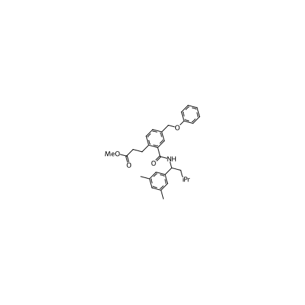 COC(=O)CCc1ccc(COc2ccccc2)cc1C(=O)NC(CC(C)C)c1cc(C)cc(C)c1